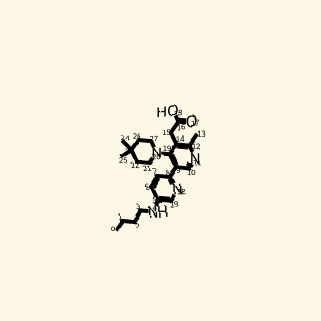 CCCCNc1ccc(-c2cnc(C)c(CC(=O)O)c2N2CCC(C)(C)CC2)nc1